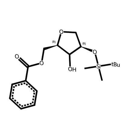 CC(C)(C)[Si](C)(C)O[C@@H]1CO[C@H](COC(=O)c2ccccc2)C1O